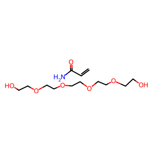 C=CC(N)=O.OCCOCCOCCOCCOCCO